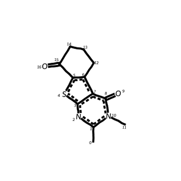 Cc1nc2sc3c(c2c(=O)n1C)CCCC3=O